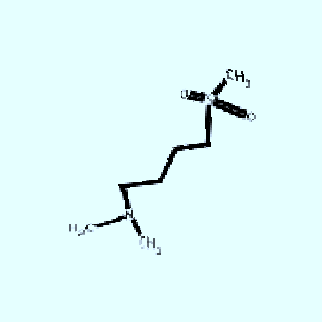 CN(C)CCCCS(C)(=O)=O